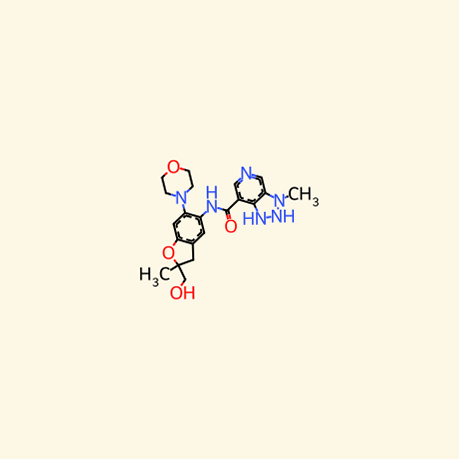 CN1NNc2c(C(=O)Nc3cc4c(cc3N3CCOCC3)OC(C)(CO)C4)cncc21